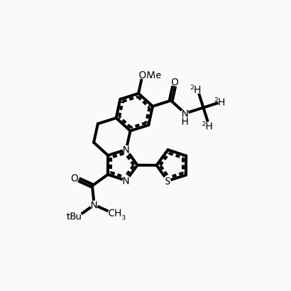 [2H]C([2H])([2H])NC(=O)c1cc2c(cc1OC)CCc1c(C(=O)N(C)C(C)(C)C)nc(-c3cccs3)n1-2